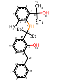 CCC(CC)(Pc1c(C)cccc1C(C)(C)O)c1cccc(Cc2ccccc2)c1O